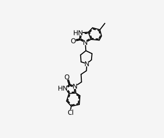 Cc1ccc2c(c1)[nH]c(=O)n2C1CCN(CCCn2c(=O)[nH]c3cc(Cl)ccc32)CC1